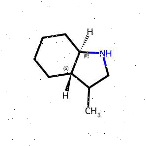 CC1CN[C@@H]2CCCC[C@@H]12